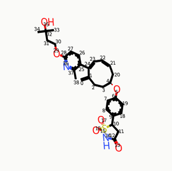 C=C1CC[C@@H](Oc2ccc(C3CC(=O)NS3(=O)=O)cc2)C/C=C\C=C/1c1ccc(OCCC(C)(C)O)nc1C